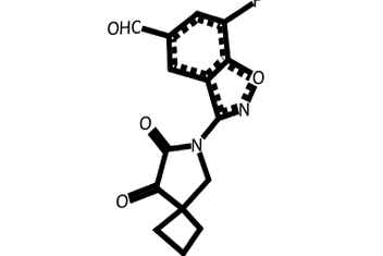 O=Cc1cc(F)c2onc(N3CC4(CCC4)C(=O)C3=O)c2c1